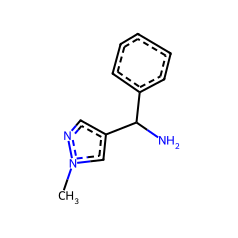 Cn1cc(C(N)c2ccccc2)cn1